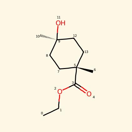 CCOC(=O)[C@]1(C)CC[C@@](C)(O)CC1